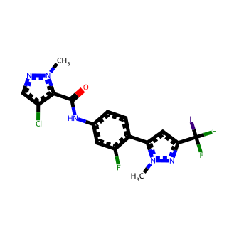 Cn1nc(C(F)(F)I)cc1-c1ccc(NC(=O)c2c(Cl)cnn2C)cc1F